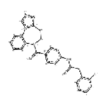 O=C(Cc1ccccc1Cl)Nc1ccc(C(=O)N2CCc3nncn3-c3ccccc32)cc1